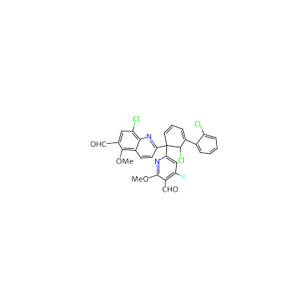 COc1nc(C2(c3ccc4c(OC)c(C=O)cc(Cl)c4n3)C=CC=C(c3ccccc3Cl)C2Cl)cc(F)c1C=O